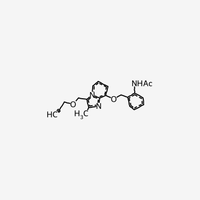 C#CCOCc1c(C)nc2c(OCc3ccccc3NC(C)=O)cccn12